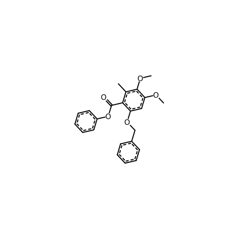 COc1cc(OCc2ccccc2)c(C(=O)Oc2ccccc2)c(C)c1OC